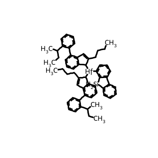 CCCCC1=Cc2c(-c3ccccc3C(C)CC)cccc2[CH]1[Hf]([c]1cccc2c1[SiH2]c1ccccc1-2)[CH]1C(CCCC)=Cc2c(-c3ccccc3C(C)CC)cccc21